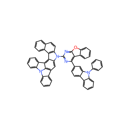 c1ccc(-n2c3ccccc3c3ccc(-c4nc(-n5c6ccc7ccccc7c6c6c7c8ccccc8n8c9ccccc9c(cc65)c78)nc5oc6ccccc6c45)cc32)cc1